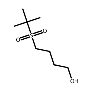 CC(C)(C)S(=O)(=O)CCCCO